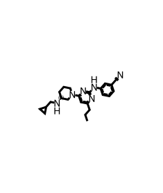 CCCc1cc(N2CCC[C@@H](NCC3CC3)C2)nc(Nc2cccc(C#N)c2)n1